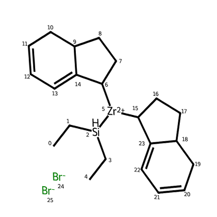 CC[SiH](CC)[Zr+2]([CH]1CCC2CC=CC=C21)[CH]1CCC2CC=CC=C21.[Br-].[Br-]